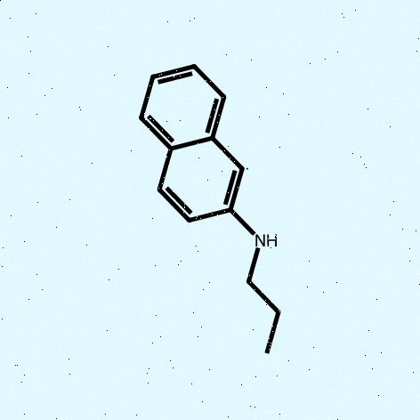 CCCNc1[c]c2ccccc2cc1